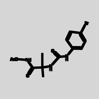 CC(=O)ONC(=O)C(C)(C)NC(=O)Nc1ccc(Br)cc1